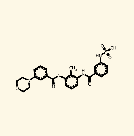 Cc1c(NC(=O)c2cccc(NS(C)(=O)=O)c2)cccc1NC(=O)c1cccc(N2CCOCC2)c1